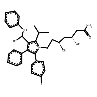 CC(C)c1c(C(O)Nc2ccccc2)c(-c2ccccc2)c(-c2ccc(F)cc2)n1CC[C@@H](O)C[C@@H](O)CC(N)=O